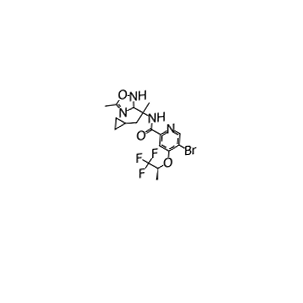 CC1=NC(C(C)(CC2CC2)NC(=O)c2cc(O[C@@H](C)C(F)(F)F)c(Br)cn2)NO1